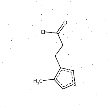 Cc1cscc1CCC(=O)Cl